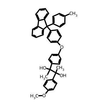 COc1ccc(C(C)(O)C(C)(O)c2ccc(Oc3ccc(C4(c5ccc(C)cc5)c5ccccc5-c5ccccc54)cc3)cc2)cc1